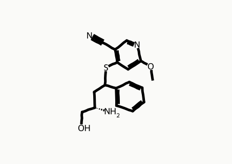 COc1cc(SC(C[C@H](N)CO)c2ccccc2)c(C#N)cn1